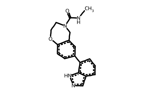 CNC(=O)N1CCOc2ccc(-c3cccc4cn[nH]c34)cc2C1